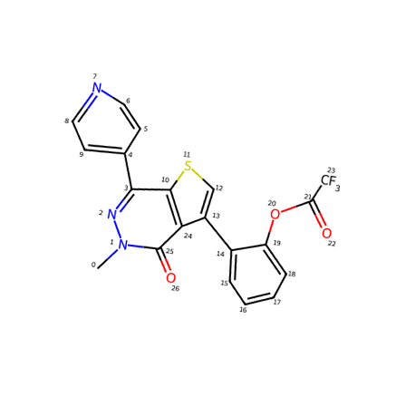 Cn1nc(-c2ccncc2)c2scc(-c3ccccc3OC(=O)C(F)(F)F)c2c1=O